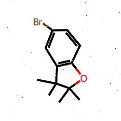 CC1(C)Oc2ccc(Br)cc2C1(C)C